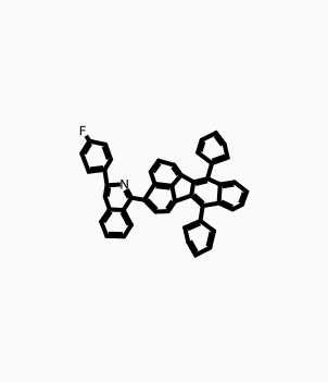 Fc1ccc(-c2cc3ccccc3c(-c3ccc4c5c(cccc35)-c3c-4c(-c4ccccc4)c4ccccc4c3-c3ccccc3)n2)cc1